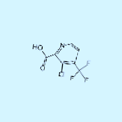 O=C(O)c1nccc(C(F)(F)F)c1Cl